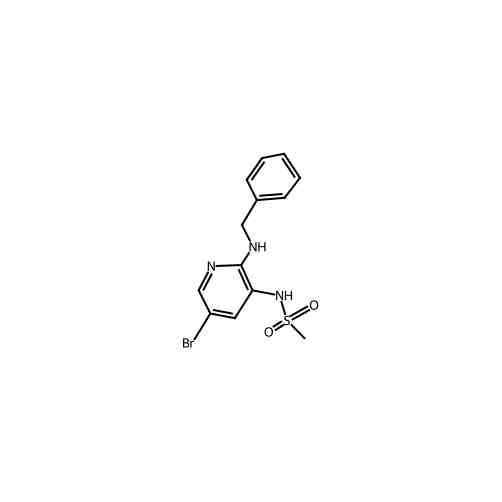 CS(=O)(=O)Nc1cc(Br)cnc1NCc1ccccc1